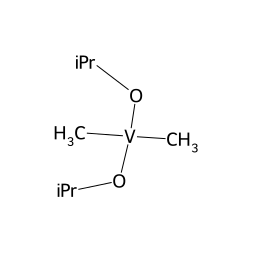 CC(C)[O][V]([CH3])([CH3])[O]C(C)C